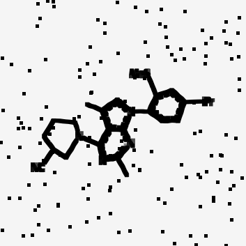 CSc1cc(C(C)C)ccc1-n1cc(C)c2c(N3CCCC(C#N)C3)nc(C)nc21